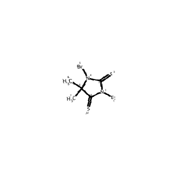 CCN1C(=S)N(Br)C(C)(C)C1=S